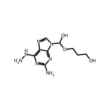 NNc1nc(N)nc2c1ncn2C(O)OCCCO